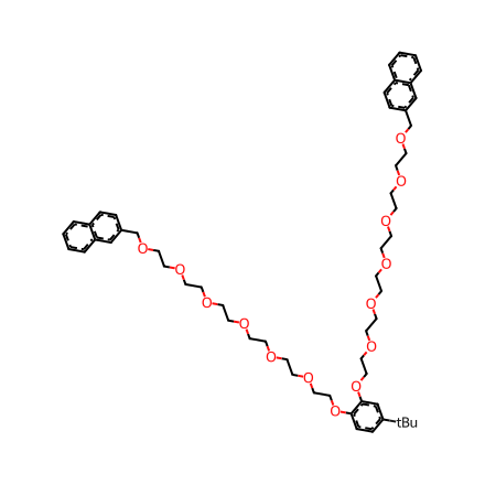 CC(C)(C)c1ccc(OCCOCCOCCOCCOCCOCCOCc2ccc3ccccc3c2)c(OCCOCCOCCOCCOCCOCCOCc2ccc3ccccc3c2)c1